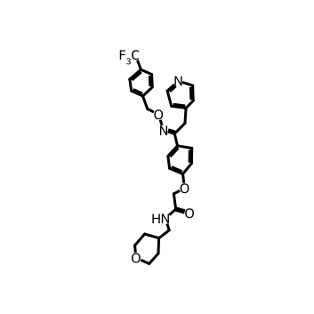 O=C(COc1ccc(C(Cc2ccncc2)=NOCc2ccc(C(F)(F)F)cc2)cc1)NCC1CCOCC1